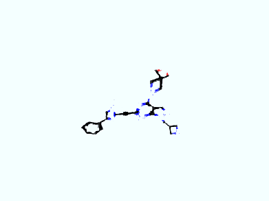 Cn1cc(-c2ccccc2)nc1C#Cc1nc(N2CC3(COC3)C2)c2cnn(CC3CNC3)c2n1